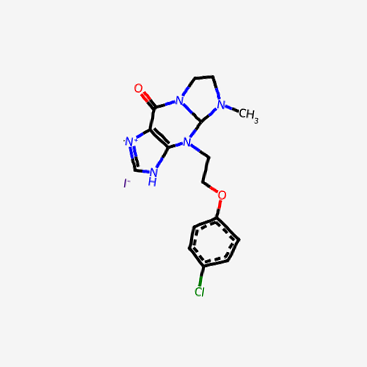 CN1CCN2C(=O)C3=C(NC=[N+]3)N(CCOc3ccc(Cl)cc3)C12.[I-]